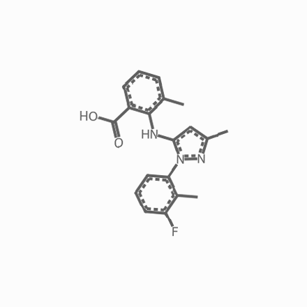 Cc1cc(Nc2c(C)cccc2C(=O)O)n(-c2cccc(F)c2C)n1